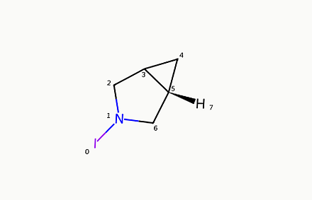 IN1CC2C[C@@H]2C1